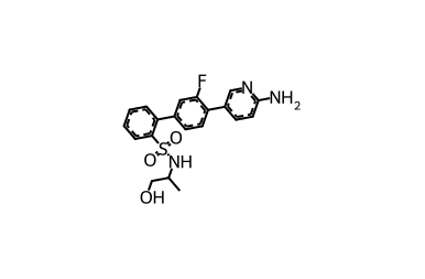 CC(CO)NS(=O)(=O)c1ccccc1-c1ccc(-c2ccc(N)nc2)c(F)c1